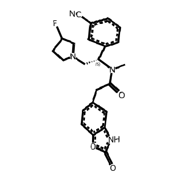 CN(C(=O)Cc1ccc2oc(=O)[nH]c2c1)[C@H](CN1CCC(F)C1)c1cccc(C#N)c1